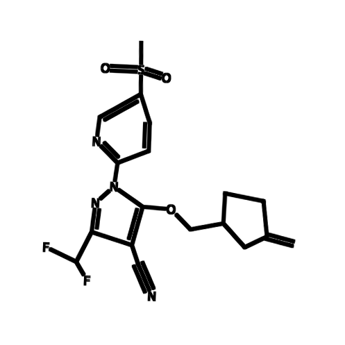 C=C1CCC(COc2c(C#N)c(C(F)F)nn2-c2ccc(S(C)(=O)=O)cn2)C1